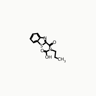 CCCN(C(=O)O)C(=O)c1nc2ccccc2s1